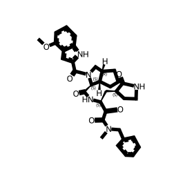 COc1cccc2[nH]c(C(=O)N3C[C@@H]4CCC[C@@H]4[C@H]3C(=O)N[C@@H](C[C@@H]3CCNC3=O)C(=O)C(=O)N(C)Cc3ccccc3)cc12